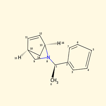 C[C@H](c1ccccc1)N1C[C@H]2C=C[C@@H]1C2